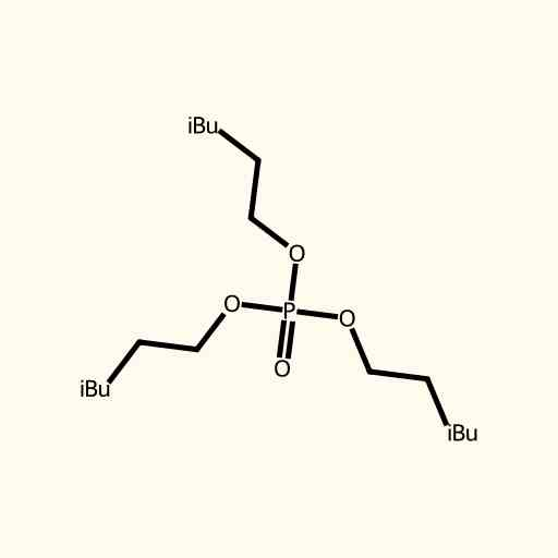 CCC(C)CCOP(=O)(OCCC(C)CC)OCCC(C)CC